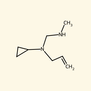 C=CCN(CNC)C1CC1